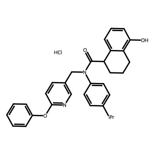 CC(C)c1ccc(N(Cc2ccc(Oc3ccccc3)nc2)C(=O)C2CCCc3c(O)cccc32)cc1.Cl